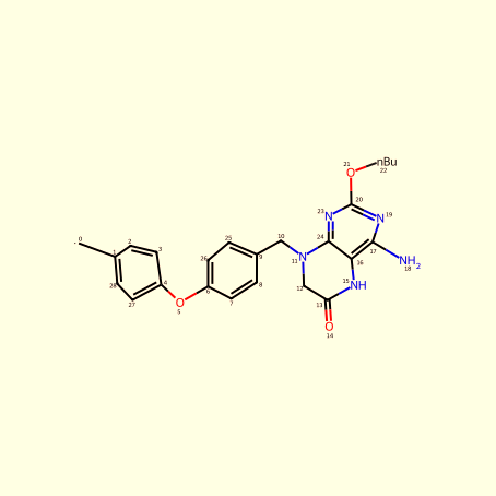 [CH2]c1ccc(Oc2ccc(CN3CC(=O)Nc4c(N)nc(OCCCC)nc43)cc2)cc1